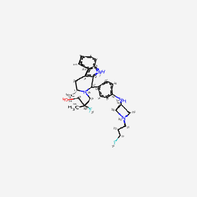 C[C@@H]1Cc2c([nH]c3ccccc23)C(c2ccc(NC3CN(CCCF)C3)cc2)N1CC(C)(F)CO